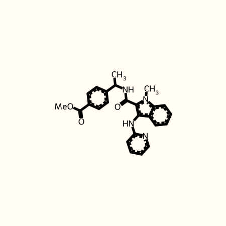 COC(=O)c1ccc(C(C)NC(=O)c2c(Nc3ccccn3)c3ccccc3n2C)cc1